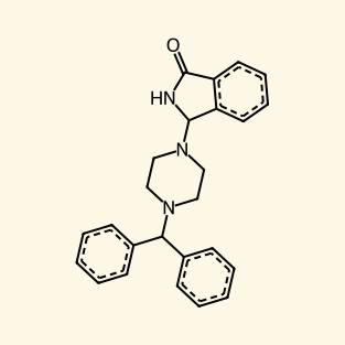 O=C1NC(N2CCN(C(c3ccccc3)c3ccccc3)CC2)c2ccccc21